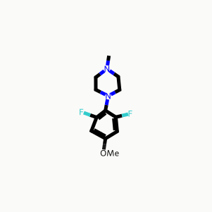 COc1cc(F)c(N2CCN(C)CC2)c(F)c1